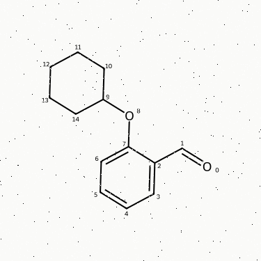 O=Cc1ccccc1OC1CCCCC1